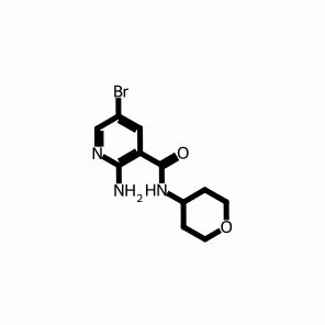 Nc1ncc(Br)cc1C(=O)NC1CCOCC1